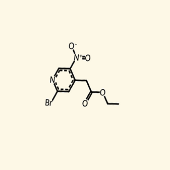 CCOC(=O)Cc1cc(Br)ncc1[N+](=O)[O-]